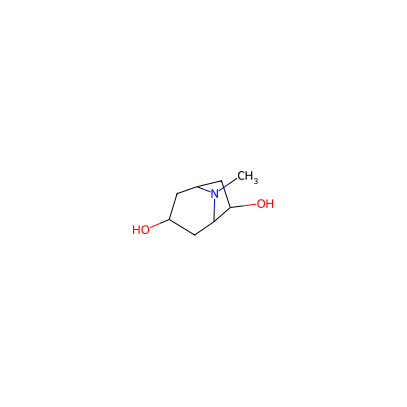 CN1C2CC(O)CC1C(O)C2